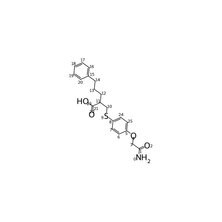 NC(=O)COc1ccc(SCC(CCCc2ccccc2)C(=O)O)cc1